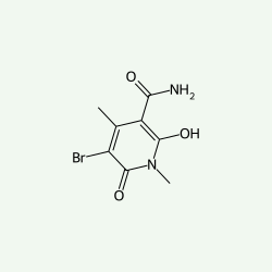 Cc1c(C(N)=O)c(O)n(C)c(=O)c1Br